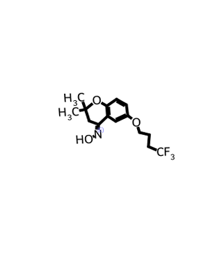 CC1(C)C/C(=N\O)c2cc(OCCCC(F)(F)F)ccc2O1